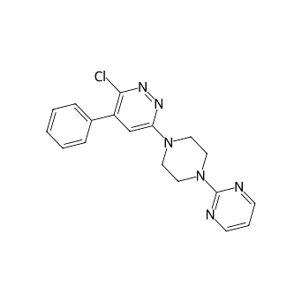 Clc1nnc(N2CCN(c3ncccn3)CC2)cc1-c1ccccc1